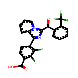 O=C(O)c1ccc(-c2nc(C(=O)c3ccccc3C(F)(F)F)n3ccccc23)c(F)c1F